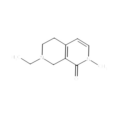 CCN1CCc2ccn(C)c(=O)c2C1